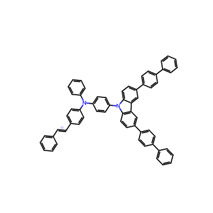 C(=C\c1ccc(N(c2ccccc2)c2ccc(-n3c4ccc(-c5ccc(-c6ccccc6)cc5)cc4c4cc(-c5ccc(-c6ccccc6)cc5)ccc43)cc2)cc1)/c1ccccc1